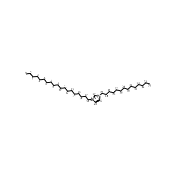 CCCCCCCCCCCCCCCCCCC[n+]1ccn(CCCCCCCCCCCCCC)c1